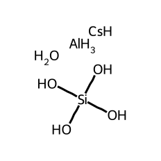 O.O[Si](O)(O)O.[AlH3].[CsH]